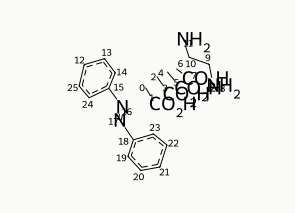 CC(=O)O.CC(=O)O.CC(=O)O.CC(=O)O.NCCN.c1ccc(N=Nc2ccccc2)cc1